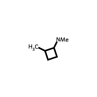 CNC1CCC1C